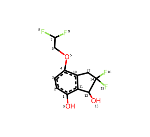 Oc1ccc(OCC(F)F)c2c1C(O)C(F)(F)C2